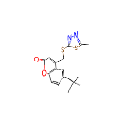 Cc1nnc(SCc2cc(=O)oc3ccc(C(C)(C)C)cc23)s1